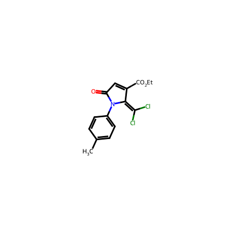 CCOC(=O)C1=CC(=O)N(c2ccc(C)cc2)C1=C(Cl)Cl